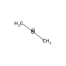 CCCCCCCCCCCCCC=CC(=O)OC=CCCCCCCCCCCCCCC